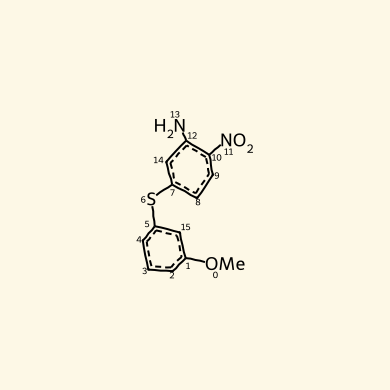 COc1cccc(Sc2ccc([N+](=O)[O-])c(N)c2)c1